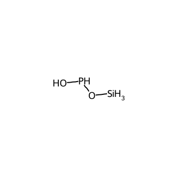 OPO[SiH3]